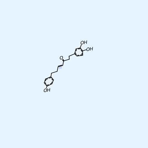 O=C(/C=C/CCc1ccc(O)cc1)CCc1ccc(O)c(O)c1